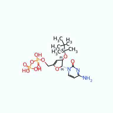 CC(C)(C)[Si](C)(C)O[C@@H]1C=C(COP(=O)(O)OP(=O)(O)O)O[C@H]1n1ccc(N)nc1=O